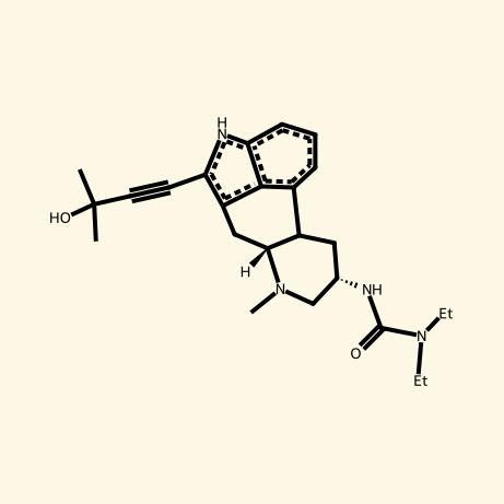 CCN(CC)C(=O)N[C@H]1CC2c3cccc4[nH]c(C#CC(C)(C)O)c(c34)C[C@H]2N(C)C1